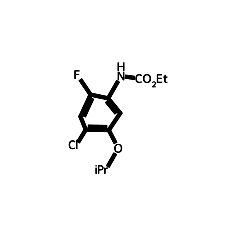 CCOC(=O)Nc1cc(OC(C)C)c(Cl)cc1F